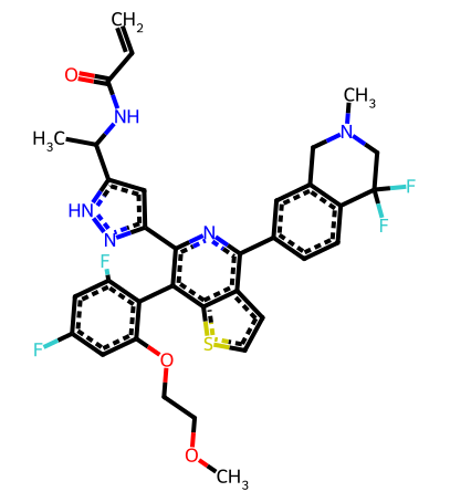 C=CC(=O)NC(C)c1cc(-c2nc(-c3ccc4c(c3)CN(C)CC4(F)F)c3ccsc3c2-c2c(F)cc(F)cc2OCCOC)n[nH]1